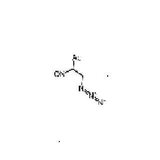 CC(=O)C(CN=[N+]=[N-])N=O